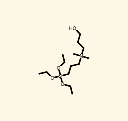 CCO[Si](CCC[N+](C)(C)CCCO)(OCC)OCC